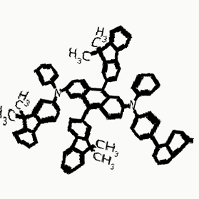 CC1(C)c2ccccc2-c2ccc(-c3c4ccc(N(c5ccccc5)c5ccc6c(c5)C(C)(C)c5ccccc5-6)cc4c(-c4ccc5c(c4)C(C)(C)c4ccccc4-5)c4ccc(N(c5ccccc5)c5ccc(-c6cccc7ccccc67)cc5)cc34)cc21